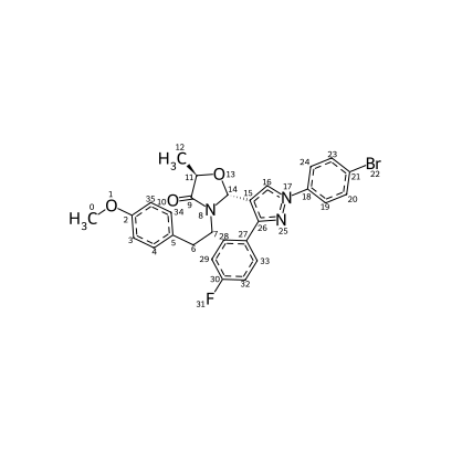 COc1ccc(CCN2C(=O)[C@@H](C)O[C@@H]2c2cn(-c3ccc(Br)cc3)nc2-c2ccc(F)cc2)cc1